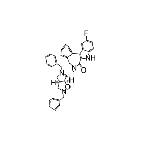 O=C1c2[nH]c3ccc(F)cc3c2-c2ccccc2CN1C[C@@H]1[C@H]2ON(Cc3ccccc3)C[C@H]2CN1Cc1ccccc1